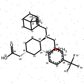 CC(C)CN(CC1=CCC2CC1C2(C)C)[C@@H]1CC[C@@H](CC(=O)O)C[C@H]1c1ccc(C(F)(F)F)cc1